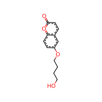 O=c1ccc2cc(OCCCCO)ccc2o1